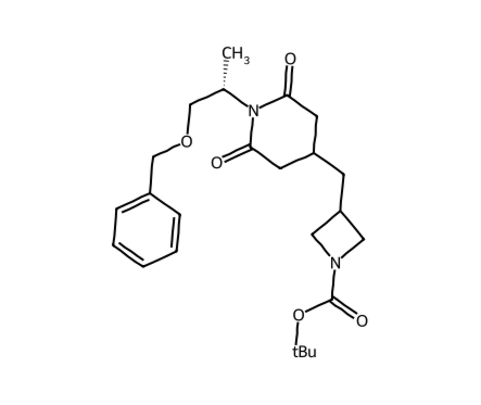 C[C@@H](COCc1ccccc1)N1C(=O)CC(CC2CN(C(=O)OC(C)(C)C)C2)CC1=O